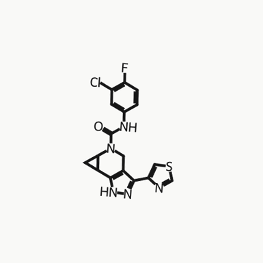 O=C(Nc1ccc(F)c(Cl)c1)N1Cc2c(-c3cscn3)n[nH]c2C2CC21